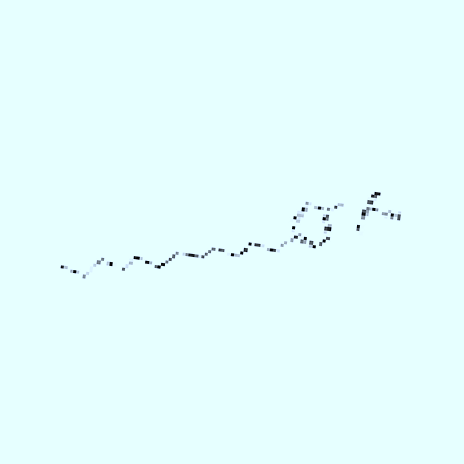 CCCCCCCCCCCCc1ccc(CS(=O)(=O)O)cc1